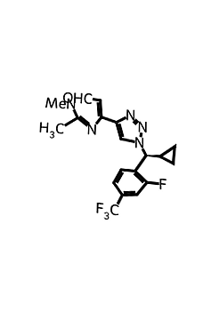 CN/C(C)=N\C(=C/C=O)c1cn([C@H](c2ccc(C(F)(F)F)cc2F)C2CC2)nn1